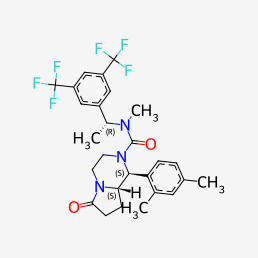 Cc1ccc([C@H]2[C@@H]3CCC(=O)N3CCN2C(=O)N(C)[C@H](C)c2cc(C(F)(F)F)cc(C(F)(F)F)c2)c(C)c1